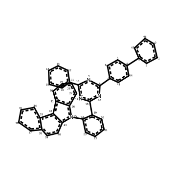 c1ccc(-c2ccc(-c3nc(-c4ccccc4)nc(-c4ccccc4-n4c5ccccc5c5c6ccccc6ccc54)n3)cc2)cc1